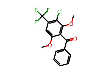 COc1cc(C(F)(F)F)c(Cl)c(OC)c1C(=O)c1ccccc1